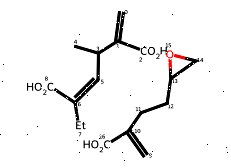 C=C(C(=O)O)C(C)C=C(CC)C(=O)O.C=C(CCC1CO1)C(=O)O